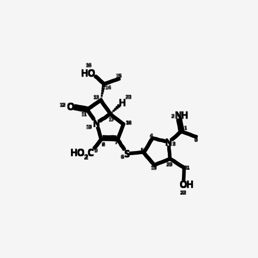 CC(=N)N1CC(SC2=C(C(=O)O)N3C(=O)[C@H](C(C)O)[C@H]3C2)CC1CO